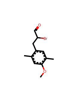 COc1cc(C)c(CC(Br)C=O)cc1C